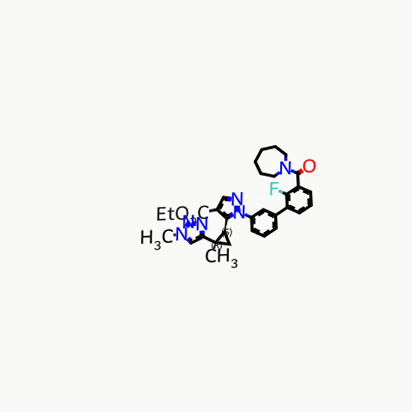 CCOC(=O)c1cnn(-c2cccc(-c3cccc(C(=O)N4CCCCCC4)c3F)c2)c1[C@H]1C[C@@]1(C)c1cn(C)nn1